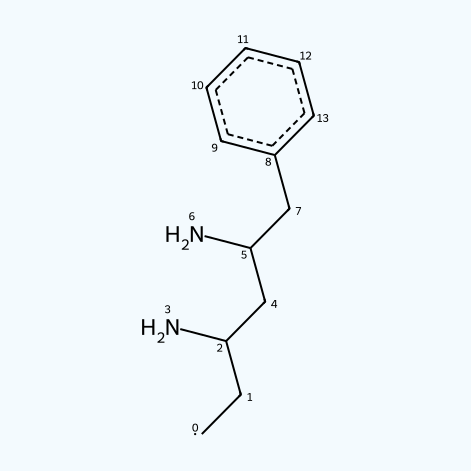 [CH2]CC(N)CC(N)Cc1ccccc1